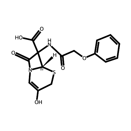 O=C(COc1ccccc1)NC1(C(=O)O)C(=O)N2C=C(O)CS[C@H]21